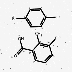 Brc1ccc(I)cc1.Cc1c(F)cccc1C(=O)O